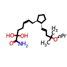 CCCOC(C)(C)C/C=C/[C@H]1CCC[C@@H]1C/C=C\CCC(O)(O)C(N)=O